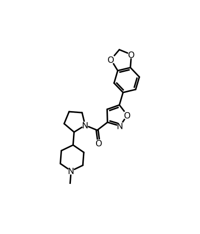 CN1CCC(C2CCCN2C(=O)c2cc(-c3ccc4c(c3)OCO4)on2)CC1